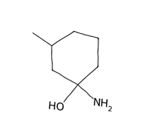 CC1CCCC(N)(O)C1